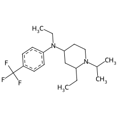 CCC1CC(N(CC)c2ccc(C(F)(F)F)cc2)CCN1C(C)C